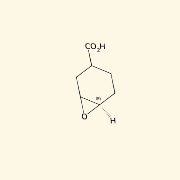 O=C(O)C1CC[C@H]2OC2C1